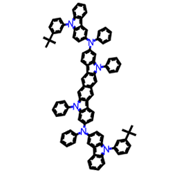 CC(C)(C)c1cccc(-n2c3ccccc3c3cc(N(c4ccccc4)c4ccc5c6cc7cc8c(cc7cc6n(-c6ccccc6)c5c4)c4ccc(N(c5ccccc5)c5ccc6c(c5)c5ccccc5n6-c5cccc(C(C)(C)C)c5)cc4n8-c4ccccc4)ccc32)c1